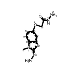 Cn1c(=NN)sc2cc(OCC(=O)NN)ccc21